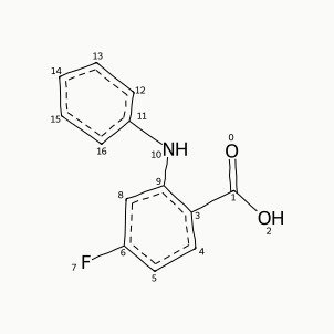 O=C(O)c1ccc(F)cc1Nc1ccccc1